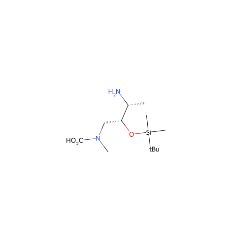 C[C@@H](N)[C@@H](CN(C)C(=O)O)O[Si](C)(C)C(C)(C)C